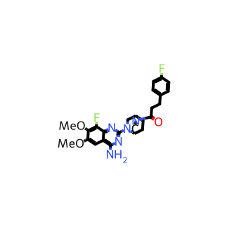 COc1cc2c(N)nc(N3CC4CCC3CN4C(=O)CCc3ccc(F)cc3)nc2c(F)c1OC